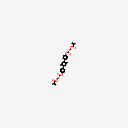 C=C(C)C(=O)OCOC(=O)Oc1ccc(-c2cc(C)c(-c3ccc(OC(=O)OCOC(=O)C(=C)C)cc3)cc2C)cc1